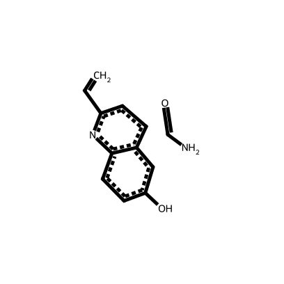 C=Cc1ccc2cc(O)ccc2n1.NC=O